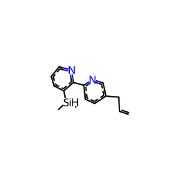 C=CCc1ccc(-c2ncccc2[SiH](C)C)nc1